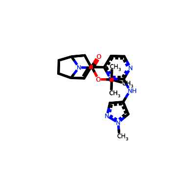 Cn1cc(Nc2nccc(C3=CC4CCC(C3)N4C(=O)OC(C)(C)C)n2)cn1